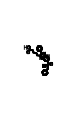 O=C(O)CCCCc1nc2cc(C(=O)NCc3ccccc3)cnc2nc1-c1ccccc1